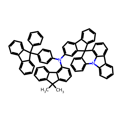 CC1(C)c2ccccc2-c2c(N(c3ccc(C4(c5ccccc5)c5ccccc5-c5ccccc54)cc3)c3ccc4c(c3)C3(c5ccccc5-4)c4ccccc4-n4c5ccccc5c5cccc3c54)cccc21